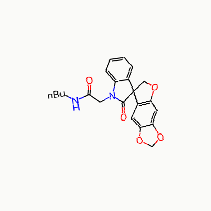 CCCCNC(=O)CN1C(=O)C2(COc3cc4c(cc32)OCO4)c2ccccc21